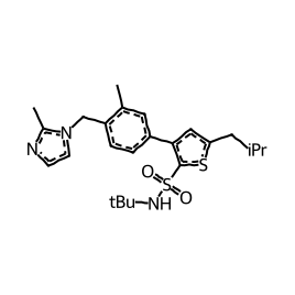 Cc1cc(-c2cc(CC(C)C)sc2S(=O)(=O)NC(C)(C)C)ccc1Cn1ccnc1C